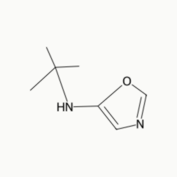 CC(C)(C)Nc1cnco1